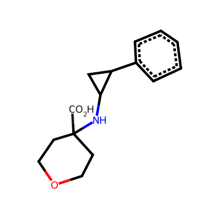 O=C(O)C1(NC2CC2c2ccccc2)CCOCC1